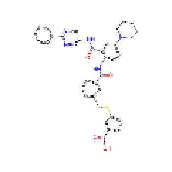 O=C(O)c1cccc(SCc2cccc(C(=O)Nc3ccc(N4CCCCC4)cc3C(=O)Nc3cnc(-c4ccccc4)nc3)c2)c1